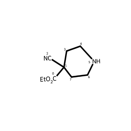 CCOC(=O)C1(C#N)CCNCC1